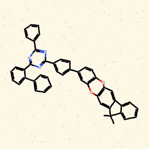 CC1(C)c2ccccc2-c2cc3c(cc21)Oc1cc(-c2ccc(-c4nc(-c5ccccc5)nc(-c5ccccc5-c5ccccc5)n4)cc2)ccc1O3